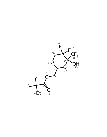 CCC(C)(C)C(=O)OCC1OCC(F)(F)C(O)(C(F)(F)F)O1